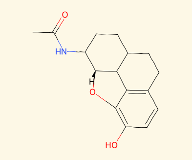 CC(=O)NC1CCC2CCc3ccc(O)c4c3C2[C@@H]1O4